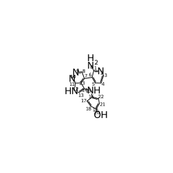 Nc1ncccc1-c1cnnc2[nH]cc(Nc3ccc(O)cc3)c12